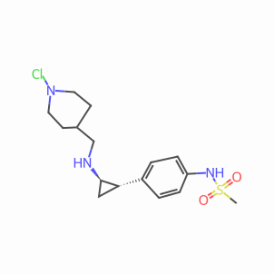 CS(=O)(=O)Nc1ccc([C@@H]2C[C@H]2NCC2CCN(Cl)CC2)cc1